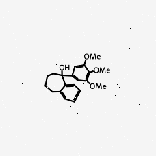 COc1cc(C2(O)CCCCc3ccccc32)cc(OC)c1OC